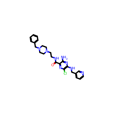 Nc1nc(NCc2cccnc2)c(Cl)nc1C(=O)NCCN1CCN(Cc2ccccc2)CC1